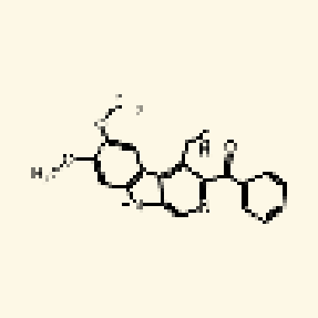 CCc1c(C(=O)c2ccccc2)ncc2[nH]c3cc(OC)c(OC)cc3c12